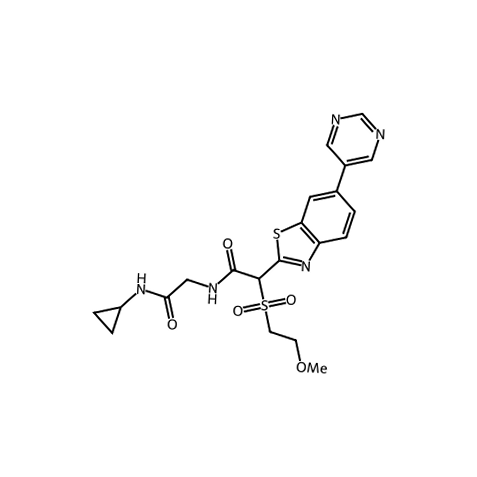 COCCS(=O)(=O)C(C(=O)NCC(=O)NC1CC1)c1nc2ccc(-c3cncnc3)cc2s1